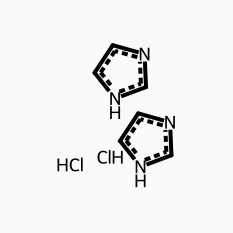 Cl.Cl.c1c[nH]cn1.c1c[nH]cn1